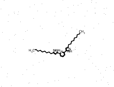 CCCCCCCCCc1cc(-c2cccc(-c3cc(CCCCCCCCC)n[nH]3)n2)[nH]n1